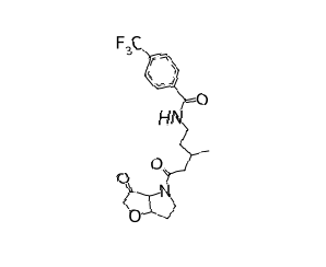 CC(CCNC(=O)c1ccc(C(F)(F)F)cc1)CC(=O)N1CCC2OCC(=O)C21